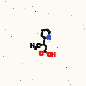 CC(CC(=O)O)c1ccccn1